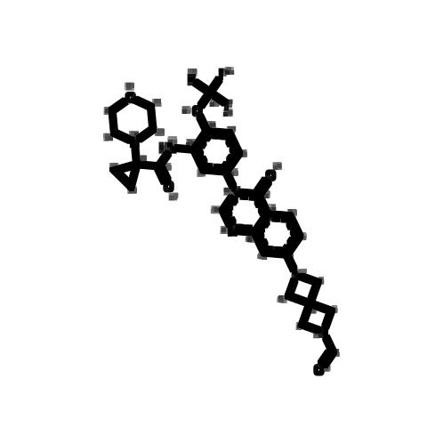 O=CN1CC2(C1)CN(c1ccc3c(=O)n(-c4ccc(OC(F)(F)F)c(NC(=O)C5(N6CCOCC6)CC5)c4)cnc3c1)C2